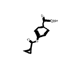 COC(=O)c1ccc(OC(=O)C2CC2)cc1